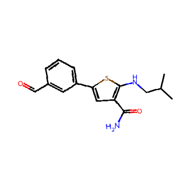 CC(C)CNc1sc(-c2cccc(C=O)c2)cc1C(N)=O